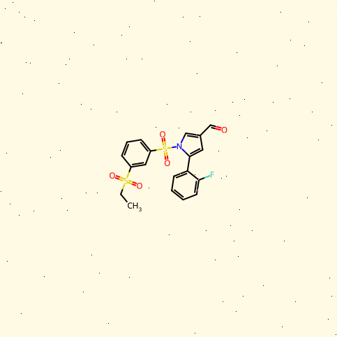 CCS(=O)(=O)c1cccc(S(=O)(=O)n2cc(C=O)cc2-c2ccccc2F)c1